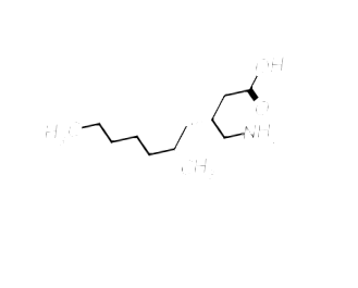 CCCCC[C@@H](C)C[C@@H](CN)CC(=O)O